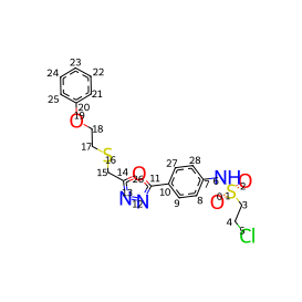 O=S(=O)(CCCl)Nc1ccc(-c2nnc(CSCCOc3ccccc3)o2)cc1